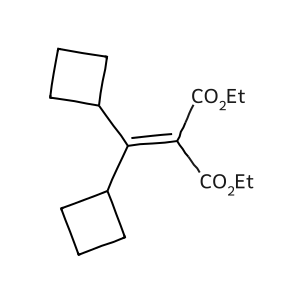 CCOC(=O)C(C(=O)OCC)=C(C1CCC1)C1CCC1